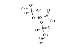 O=C(O)O.O=P([O-])([O-])O.[Ca+2].[Ca+2].[Ca+2].[O-][Si]([O-])([O-])[O-]